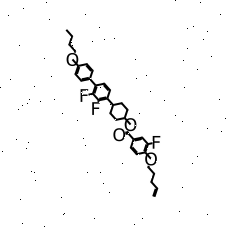 C=CCCCOc1ccc(C(=O)OC2CCC(c3ccc(-c4ccc(OCCCC)cc4)c(F)c3F)CC2)cc1F